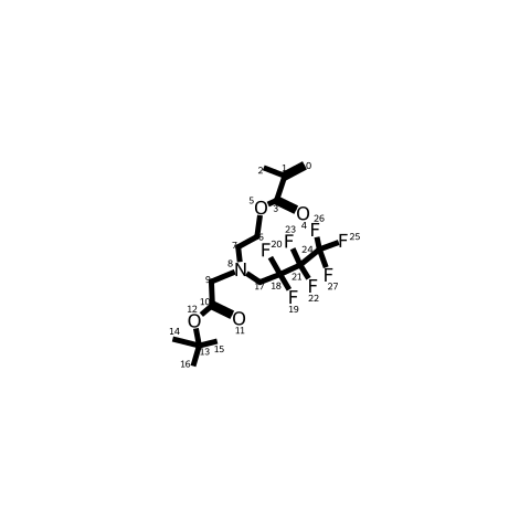 C=C(C)C(=O)OCCN(CC(=O)OC(C)(C)C)CC(F)(F)C(F)(F)C(F)(F)F